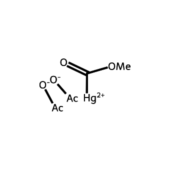 CC(=O)[O-].CC(=O)[O-].CO[C](=O)[Hg+2]